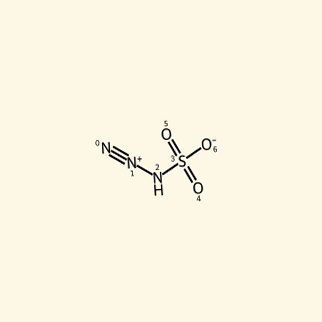 N#[N+]NS(=O)(=O)[O-]